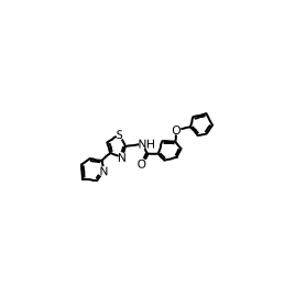 O=C(Nc1nc(-c2ccccn2)cs1)c1cccc(Oc2ccccc2)c1